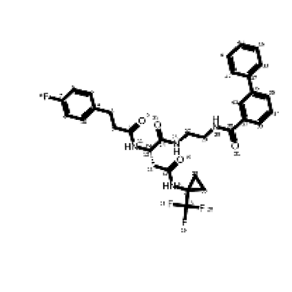 O=C(CCc1ccc(F)cc1)N[C@@H](CC(=O)NC1(C(F)(F)F)CC1)C(=O)NCCNC(=O)c1cccc(-c2ccccc2)c1